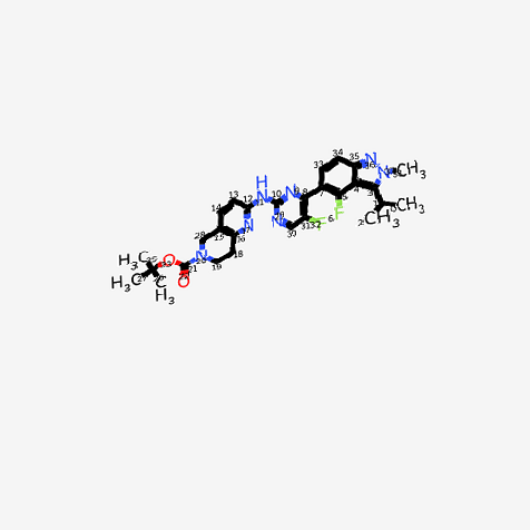 CC(C)c1c2c(F)c(-c3nc(Nc4ccc5c(n4)CCN(C(=O)OC(C)(C)C)C5)ncc3F)ccc2nn1C